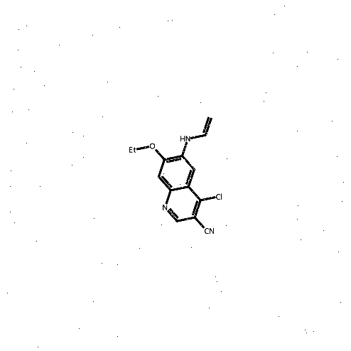 C=CNc1cc2c(Cl)c(C#N)cnc2cc1OCC